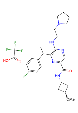 CO[C@H]1C[C@H](NC(=O)c2cnc(NCCN3CCCC3)c(C(C)c3ccc(F)cc3)n2)C1.O=C(O)C(F)(F)F